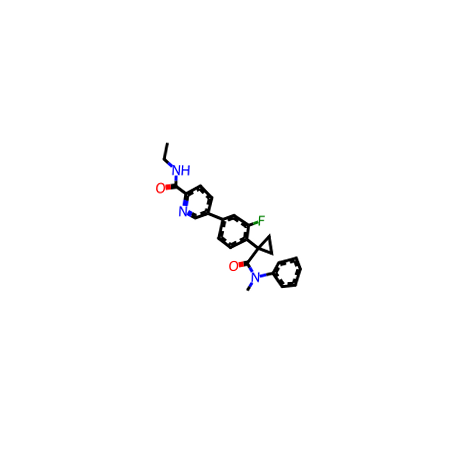 CCNC(=O)c1ccc(-c2ccc(C3(C(=O)N(C)c4ccccc4)CC3)c(F)c2)cn1